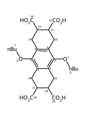 CCCCOc1c2c(c(OCCCC)c3c1CC(C(=O)O)C(C(=O)O)C3)CC(C(=O)O)C(C(=O)O)C2